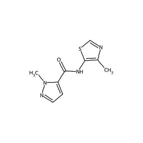 Cc1ncsc1NC(=O)c1ccnn1C